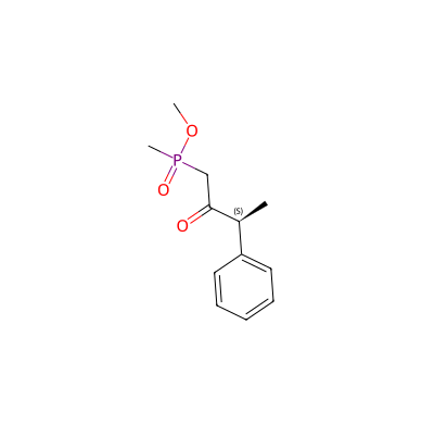 COP(C)(=O)CC(=O)[C@@H](C)c1ccccc1